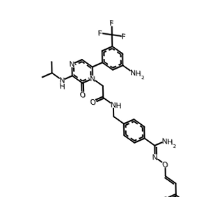 COC(=O)/C=C/O/N=C(\N)c1ccc(CNC(=O)Cn2c(-c3cc(N)cc(C(F)(F)F)c3)cnc(NC(C)C)c2=O)cc1